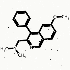 COc1ccc2cnc(CN(C)C)c(-c3ccccc3)c2c1